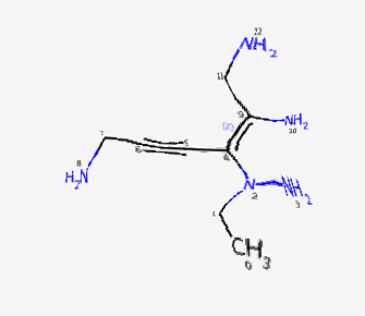 CCN(N)/C(C#CCN)=C(\N)CN